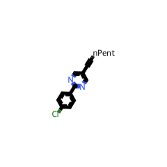 CCCCCC#Cc1cnc(-c2ccc(Cl)cc2)nc1